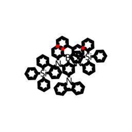 c1ccc(-c2cccc3c2B2c4ccccc4N(Cc4ccccc4[Si](c4ccccc4)(c4ccccc4)c4ccccc4)c4cc(-n5c6ccccc6c6ccccc65)cc(c42)N3c2ccccc2[Si](c2ccccc2)(c2ccccc2)c2ccccc2)cc1